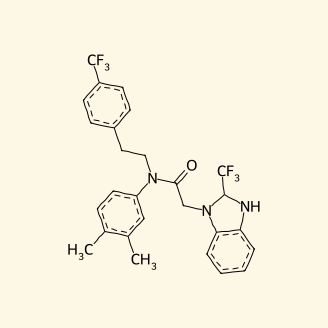 Cc1ccc(N(CCc2ccc(C(F)(F)F)cc2)C(=O)CN2c3ccccc3NC2C(F)(F)F)cc1C